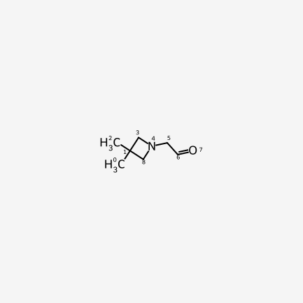 CC1(C)CN(CC=O)C1